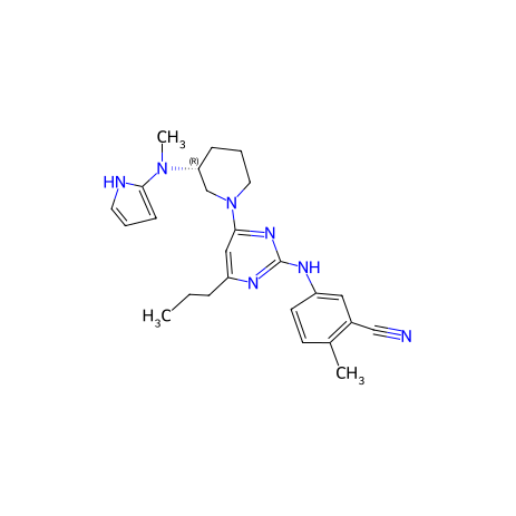 CCCc1cc(N2CCC[C@@H](N(C)c3ccc[nH]3)C2)nc(Nc2ccc(C)c(C#N)c2)n1